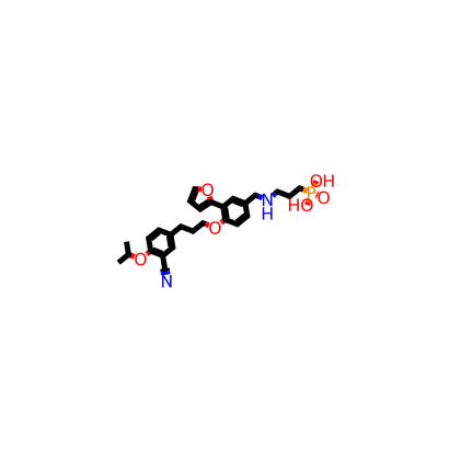 CC(C)Oc1ccc(CCCOc2ccc(CNCCCP(=O)(O)O)cc2-c2ccco2)cc1C#N